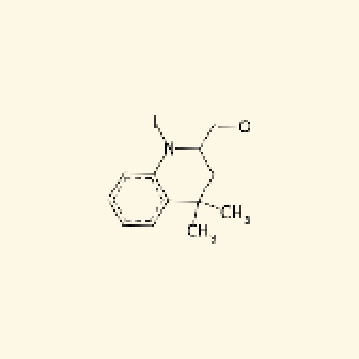 CC1(C)CC(C=O)N(I)c2ccccc21